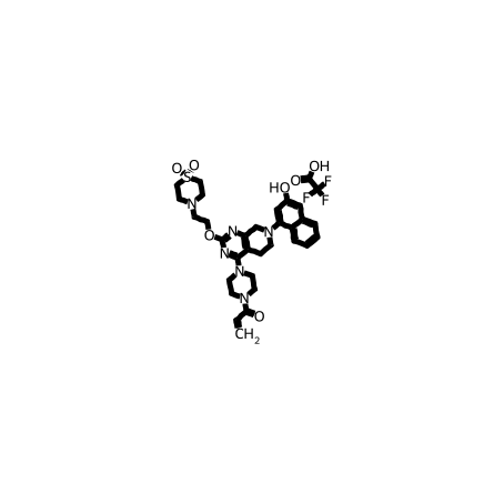 C=CC(=O)N1CCN(c2nc(OCCN3CCS(=O)(=O)CC3)nc3c2CCN(c2cc(O)cc4ccccc24)C3)CC1.O=C(O)C(F)(F)F